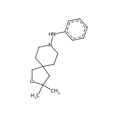 CC1(C)CC2(CCN(Nc3ccccc3)CC2)CO1